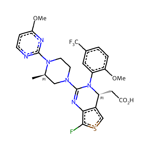 COc1ccnc(N2CCN(C3=Nc4c(csc4F)[C@@H](CC(=O)O)N3c3cc(C(F)(F)F)ccc3OC)C[C@H]2C)n1